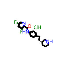 Cl.O=C(Nc1ccc(CC[C@@H]2CCCNC2)cc1)c1ncc(F)cc1F